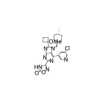 COC1(c2nc3nc(-c4noc(=O)[nH]4)nc(-c4cncc(Cl)c4)c3n2C[C@H]2CC[C@H](C)CC2)CCC1